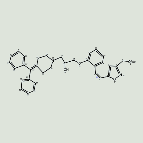 COCc1cc(/C=C\c2ccccc2OCC(O)CN2CCC(=C(c3ccccc3)c3ccccc3)CC2)on1